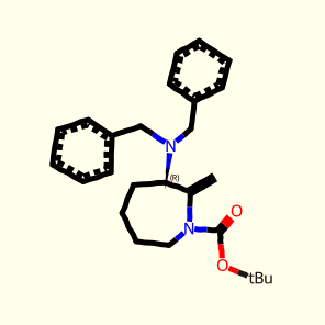 C=C1[C@H](N(Cc2ccccc2)Cc2ccccc2)CCCCN1C(=O)OC(C)(C)C